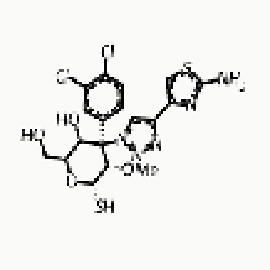 CO[C@@H]1[C@H](S)O[C@@H](CO)[C@@H](O)[C@@]1(c1ccc(Cl)c(Cl)c1)n1cc(-c2csc(N)n2)nn1